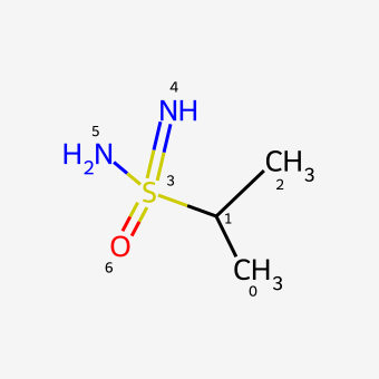 CC(C)S(=N)(N)=O